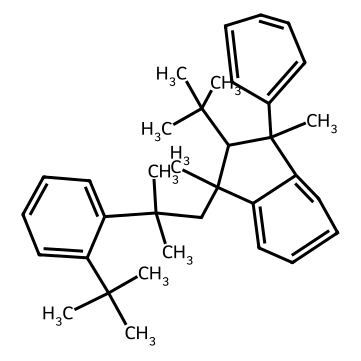 CC(C)(C)c1ccccc1C(C)(C)CC1(C)c2ccccc2C(C)(c2ccccc2)C1C(C)(C)C